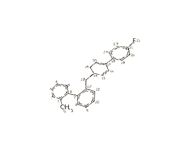 Cc1ccccc1-c1ccccc1CC1C=CC(c2ccc(F)cc2)=CC1